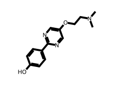 CN(C)CCOc1cnc(-c2ccc(O)cc2)nc1